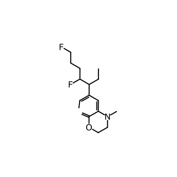 C=C1OCCN(C)/C1=C/C(=C\C)C(CC)C(F)CCCF